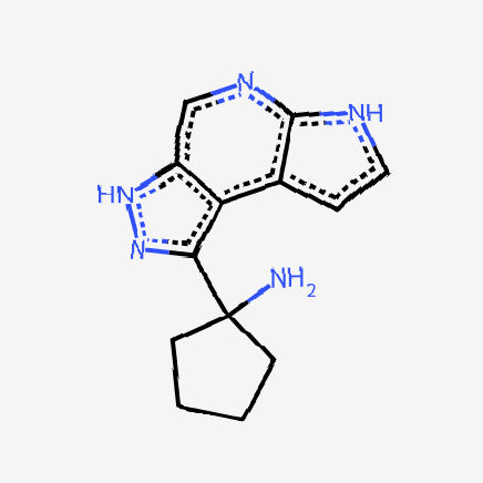 NC1(c2n[nH]c3cnc4[nH]ccc4c23)CCCC1